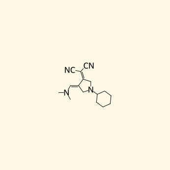 CN(C)C=C1CN(C2CCCCC2)CC1=C(C#N)C#N